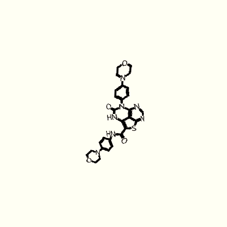 O=C(Nc1ccc(N2CCOCC2)cc1)c1sc2ncnc3c2c1NC(=O)N3c1ccc(N2CCOCC2)cc1